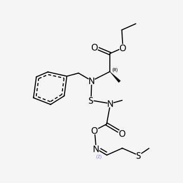 CCOC(=O)[C@@H](C)N(Cc1ccccc1)SN(C)C(=O)O/N=C\CSC